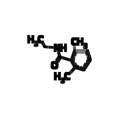 CCNC(=O)c1c(C)cccc1C